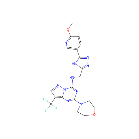 COc1ccc(-c2nnc(CNc3nc(N4CCOCC4)nc4c(C(F)(F)F)cnn34)[nH]2)cn1